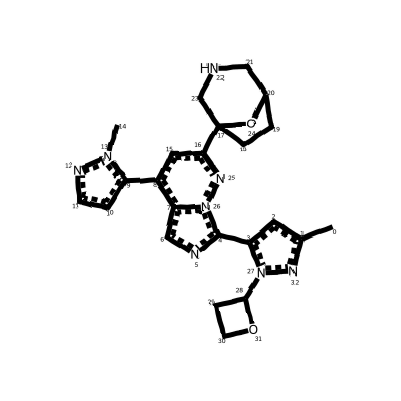 Cc1cc(-c2ncc3c(-c4ccnn4C)cc(C45CCC(CNC4)O5)nn23)n(C2CCO2)n1